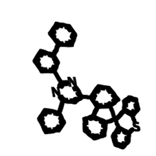 c1ccc(-c2cccc(-c3nc(-c4ccccc4)cc(-c4cccc5c4-c4ccccc4C54c5ccccc5Sc5ccccc54)n3)c2)cc1